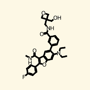 CCN(CC)c1cc2oc(-c3ccc(F)cc3)c(C(=O)NC)c2cc1-c1cccc(C(=O)NCC2(CO)COC2)c1